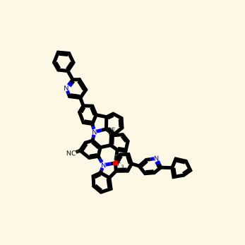 N#Cc1cc(-n2c3ccccc3c3cc(-c4ccc(-c5ccccc5)nc4)ccc32)c(-c2c(C(F)(F)F)cccc2C(F)(F)F)c(-n2c3ccccc3c3cc(-c4ccc(-c5ccccc5)nc4)ccc32)c1